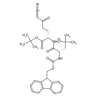 CC(C)(C)C[C@H](NC(=O)OCC1c2ccccc2-c2ccccc21)C(=O)N[C@@H](CCC(=O)C=[N+]=[N-])C(=O)OC(C)(C)C